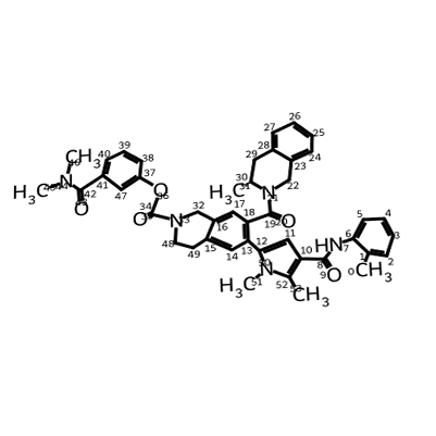 Cc1ccccc1NC(=O)c1cc(-c2cc3c(cc2C(=O)N2Cc4ccccc4C[C@H]2C)CN(C(=O)Oc2cccc(C(=O)N(C)C)c2)CC3)n(C)c1C